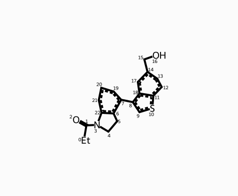 CCC(=O)N1CCc2c(-c3csc4ccc(CO)cc34)cccc21